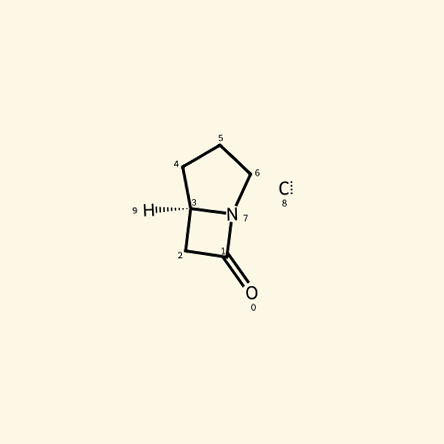 O=C1C[C@H]2CCCN12.[C]